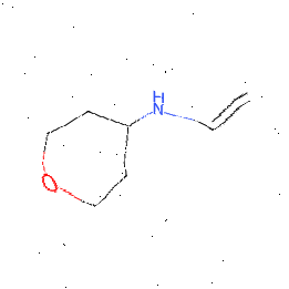 C=CNC1CCOCC1